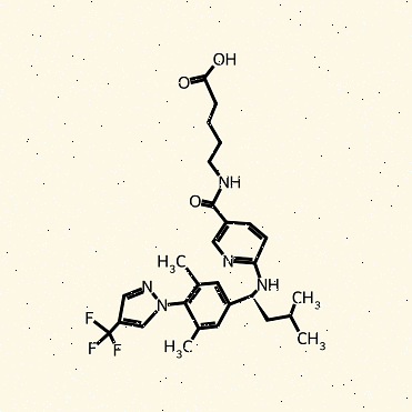 Cc1cc([C@H](CC(C)C)Nc2ccc(C(=O)NCCCCC(=O)O)cn2)cc(C)c1-n1cc(C(F)(F)F)cn1